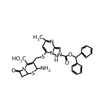 CC1=NC2=CN(C(=O)OC(c3ccccc3)c3ccccc3)NN2C(SCC2=C(C(=O)O)N3C(=O)CC3SC2N)=C1